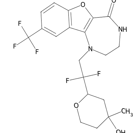 CC1(O)CCOC(C(F)(F)CN2CCNC(=O)c3oc4ccc(C(F)(F)F)cc4c32)C1